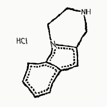 Cl.c1ccc2c(c1)cc1n2CCNC1